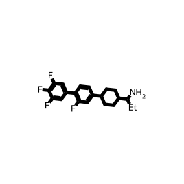 CCC(N)C1CCC(c2ccc(-c3cc(F)c(F)c(F)c3)c(F)c2)CC1